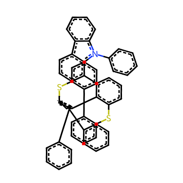 c1ccc(-c2ccc3c(c2-c2ccccc2)C2(c4ccccc4Sc4cccc(-c5cccc6c7ccccc7n(-c7ccccc7)c56)c42)c2ccccc2S3)cc1